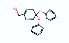 OCC1=CCC(Oc2ccccc2)(Oc2ccccc2)C=C1